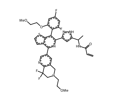 C=CC(=O)NC(C)c1cc(-c2nc(-c3cnc4c(c3)CN(CCOC)CC4(F)F)c3ccsc3c2-c2c(F)cc(F)cc2OCCOC)n[nH]1